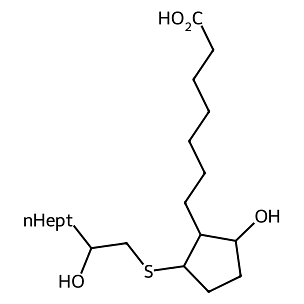 CCCCCCCC(O)CSC1CCC(O)C1CCCCCCC(=O)O